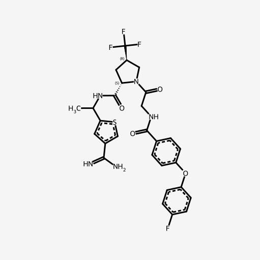 CC(NC(=O)[C@@H]1C[C@@H](C(F)(F)F)CN1C(=O)CNC(=O)c1ccc(Oc2ccc(F)cc2)cc1)c1cc(C(=N)N)cs1